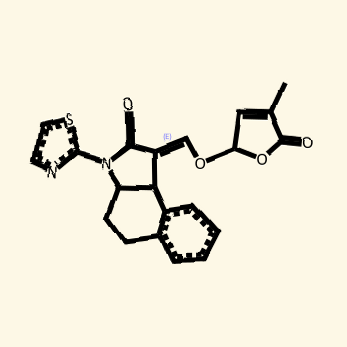 CC1=CC(O/C=C2/C(=O)N(c3nccs3)C3CCc4ccccc4C23)OC1=O